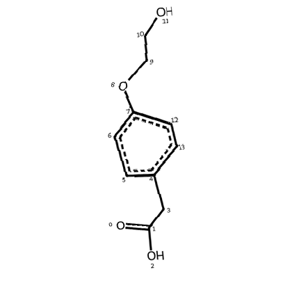 O=C(O)Cc1ccc(OCCO)cc1